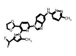 Cc1ccc(Nc2ccc3c(c2)ncn3-c2ccc(C3OCCO3)c(-n3nc(C(F)F)cc3C)n2)nn1